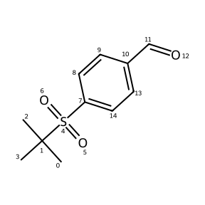 CC(C)(C)S(=O)(=O)c1ccc(C=O)cc1